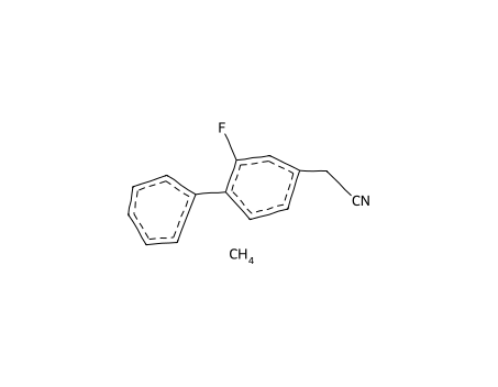 C.N#CCc1ccc(-c2ccccc2)c(F)c1